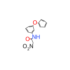 O=C(C[N+](=O)[O-])Nc1cccc(Oc2ccccc2)c1